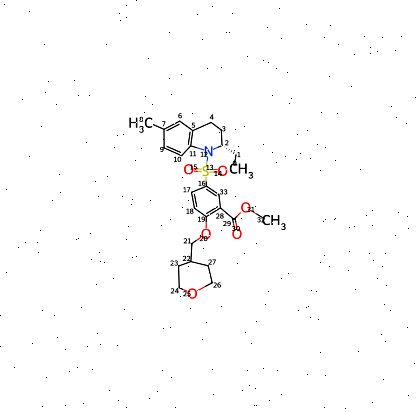 CC[C@H]1CCc2cc(C)ccc2N1S(=O)(=O)c1ccc(OCC2CCOCC2)c(C(=O)OC)c1